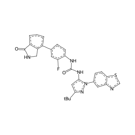 CC(C)(C)c1cc(NC(=O)Nc2ccc(-c3cccc4c3CNC4=O)cc2F)n(-c2ccc3scnc3c2)n1